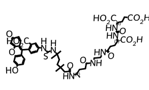 C[C@H](CCC(=O)NCCNC(=O)CC[C@H](NC(=O)N[C@@H](CCC(=O)O)C(=O)O)C(=O)O)NC(=O)CC(C)(C)CCC(C)(C)NC(=S)Nc1ccc(-c2c3ccc(=O)cc-3oc3cc(O)ccc23)c(C(=O)O)c1